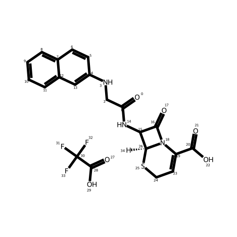 O=C(CNc1ccc2ccccc2c1)NC1C(=O)N2C(C(=O)O)=CCS[C@@H]12.O=C(O)C(F)(F)F